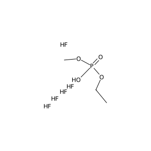 CCOP(=O)(O)OC.F.F.F.F.F